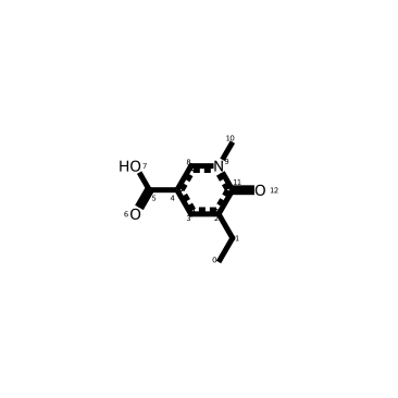 CCc1cc(C(=O)O)cn(C)c1=O